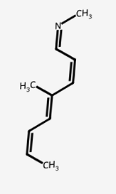 C\C=C/C=C(C)/C=C\C=N/C